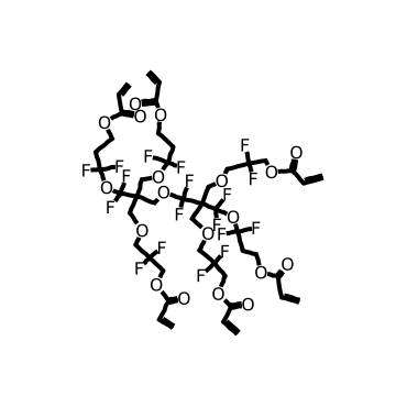 C=CC(=O)OCCC(F)(F)OCC(COCC(F)(F)COC(=O)C=C)(COC(F)(F)C(COCC(F)(F)COC(=O)C=C)(COCC(F)(F)COC(=O)C=C)C(F)(F)OC(F)(F)CCOC(=O)C=C)C(F)(F)OC(F)(F)CCOC(=O)C=C